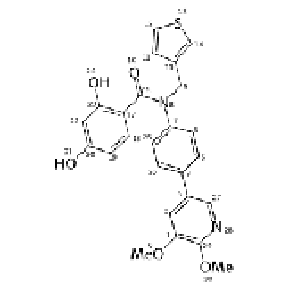 COc1cc(-c2ccc(N(Cc3ccsc3)C(=O)c3ccc(O)cc3O)cc2)cnc1OC